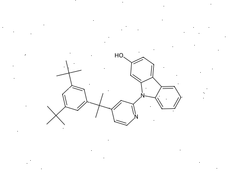 CC(C)(C)c1cc(C(C)(C)C)cc(C(C)(C)c2ccnc(-n3c4ccccc4c4ccc(O)cc43)c2)c1